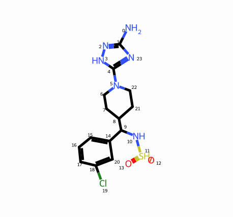 Nc1n[nH]c(N2CCC(C(N[SH](=O)=O)c3cccc(Cl)c3)CC2)n1